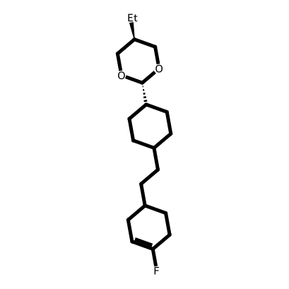 CC[C@H]1CO[C@H](C2CCC(CCC3CC=C(F)CC3)CC2)OC1